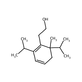 CC(C)C1=C(CCO)C(C)(C(C)C)CC=C1